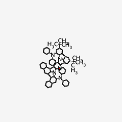 CC(C)(C)c1cc(N(c2ccccc2)c2ccccc2)c2c(c1)c1cc(C(C)(C)C)cc3c4nc5c(cc4n2c13)c1c2ccccc2cc2c3c4ccccc4cc(N(c4ccccc4)c4ccccc4)c3n5c21